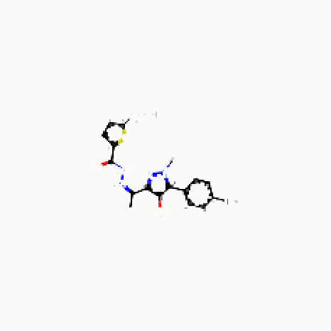 C/C(=N/NC(=O)c1ccc(C(=O)O)s1)c1nn(C)c(-c2ccc(C(C)(C)C)cc2)c1O